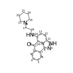 O=C1c2ccccc2-c2n[nH]c3ccc(NCCN4CCCCC4)c1c23